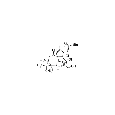 CC1=C[C@]23C(O)[C@@H](C=C(CO)[C@@H](O)[C@]2(O)[C@H]1OC(=O)C(C)(C)C)[C@H]1C(C)(C)[C@]1(O)C[C@H]3C